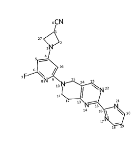 N#CC1CN(c2cc(F)nc(N3CCc4nc(-c5ncccn5)ncc4C3)c2)C1